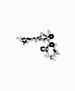 C=CCN(CC=C)C(=O)C(Cl)Cl.CCOCN(C(=O)CCl)c1c(C)cccc1CC.COC(=O)CSc1cc(/N=c2\sc(=O)n3n2CCCC3)c(F)cc1Cl.C[S+](C)C.O=C(O)CNCP(=O)([O-])O